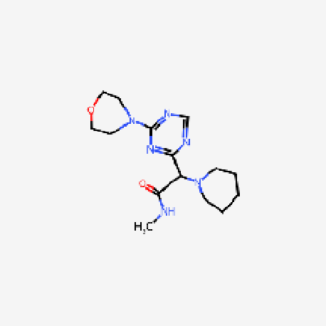 CNC(=O)C(c1ncnc(N2CCOCC2)n1)N1CCCCC1